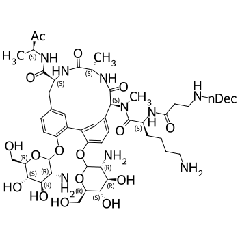 CCCCCCCCCCNCCC(=O)N[C@@H](CCCCN)C(=O)N(C)[C@@H]1C(=O)N[C@@H](C)C(=O)N[C@H](C(=O)N[C@@H](C)C(C)=O)Cc2ccc(OC3O[C@H](CO)[C@@H](O)[C@H](O)[C@H]3N)c(c2)-c2cc1ccc2OC1O[C@H](CO)[C@@H](O)[C@H](O)[C@H]1N